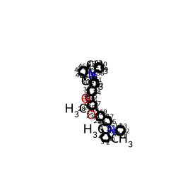 Cc1cccc(C)c1N(c1ccccc1)c1ccc2cc3c(cc2c1)oc1c(C)c2oc4cc5cc(N(c6ccccc6)c6c(C)cccc6C)ccc5cc4c2cc13